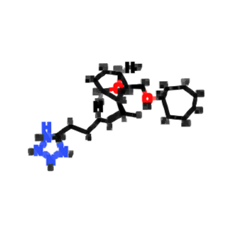 C/C(=C/CCCc1nnn[nH]1)[C@@H]1[C@H](COC2CCCCCC2)[C@@H]2CC[C@H]1O2